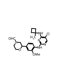 COc1cc(C2CN(C=O)CCO2)ccc1Nc1ncc(Cl)c(NC2(C)CCC2)n1